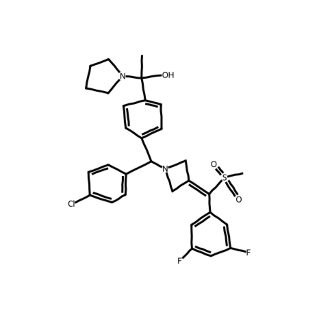 CC(O)(c1ccc(C(c2ccc(Cl)cc2)N2CC(=C(c3cc(F)cc(F)c3)S(C)(=O)=O)C2)cc1)N1CCCC1